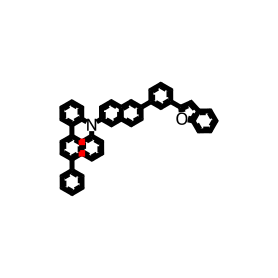 c1ccc(-c2ccc(-c3ccccc3N(c3ccccc3)c3ccc4cc(-c5cccc(-c6cc7ccccc7o6)c5)ccc4c3)cc2)cc1